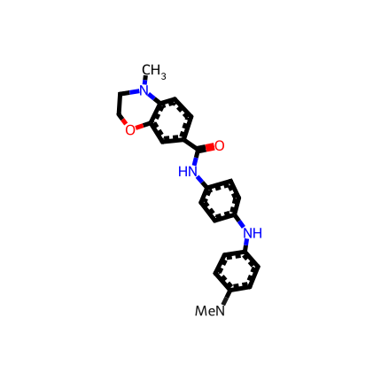 CNc1ccc(Nc2ccc(NC(=O)c3ccc4c(c3)OCCN4C)cc2)cc1